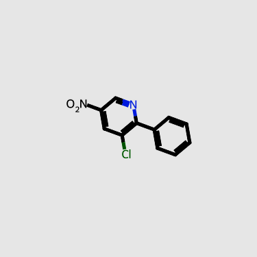 O=[N+]([O-])c1cnc(-c2ccccc2)c(Cl)c1